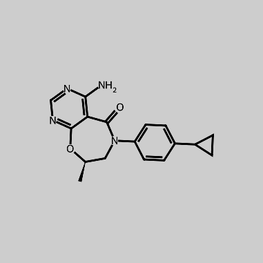 C[C@@H]1CN(c2ccc(C3CC3)cc2)C(=O)c2c(N)ncnc2O1